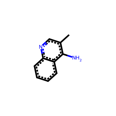 Cc1cnc2ccccc2c1N